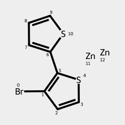 Brc1ccsc1-c1cccs1.[Zn].[Zn]